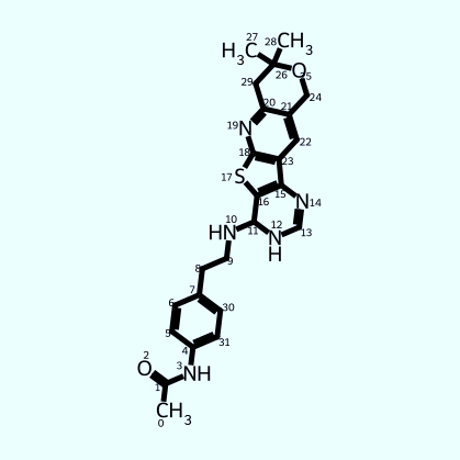 CC(=O)Nc1ccc(CCNC2NC=Nc3c2sc2nc4c(cc32)COC(C)(C)C4)cc1